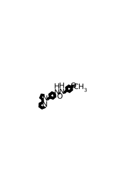 COc1ccc(CNC(=O)Nc2ccc(CN3CCCC3c3ccccn3)cc2)cc1